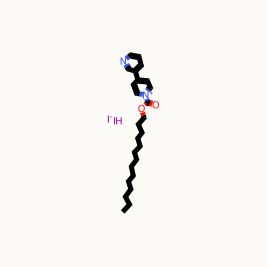 CCCCCCCCCCCCCCOC(=O)[n+]1ccc(-c2cccnc2)cc1.I.[I-]